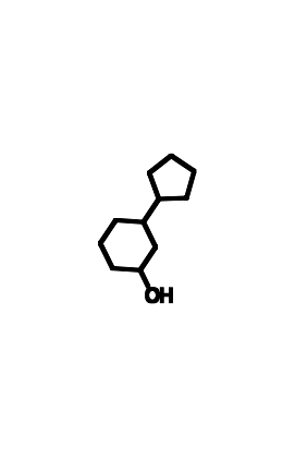 OC1CCCC(C2CCCC2)C1